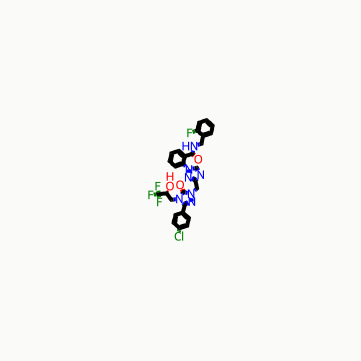 O=C(NCc1ccccc1F)c1ccccc1-n1cnc(Cn2nc(-c3ccc(Cl)cc3)n(C[C@H](O)C(F)(F)F)c2=O)n1